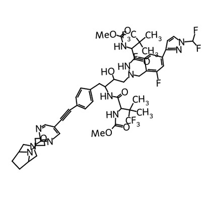 COC(=O)NC(C(=O)NC(Cc1ccc(C#Cc2cnc(N3CC4CCC(C3)N4C3COC3)nc2)cc1)C(O)CN(Cc1c(F)cc(-c2ccn(C(F)F)n2)cc1F)NC(=O)C(NC(=O)OC)C(C)(C)C(F)(F)F)C(C)(C)C(F)(F)F